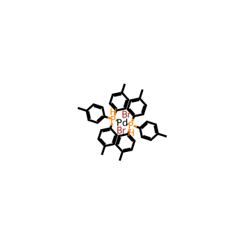 Cc1ccc([PH](c2ccc(C)cc2)(c2ccc(C)cc2)[Pd]([Br])([Br])[PH](c2ccc(C)cc2)(c2ccc(C)cc2)c2ccc(C)cc2)cc1